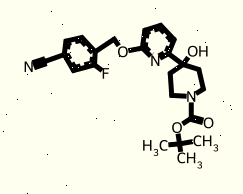 CC(C)(C)OC(=O)N1CCC(O)(c2cccc(OCc3ccc(C#N)cc3F)n2)CC1